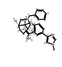 Cn1cnc(-c2ccc(O[C@@H]3[C@@H]4CC[C@H]3CN(Cc3ccccc3)C4)c(C(N)=O)c2)c1